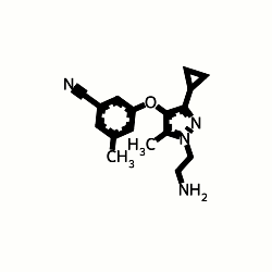 Cc1cc(C#N)cc(Oc2c(C3CC3)nn(CCN)c2C)c1